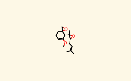 COC1=CCC[C@]2(CO2)[C@H]1C1(C)O[C@@H]1CC=C(C)C